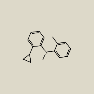 Cc1ccccc1N(C)c1ccccc1C1CC1